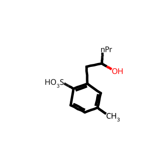 CCCC(O)Cc1cc(C)ccc1S(=O)(=O)O